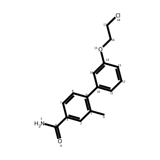 Cc1cc(C(N)=O)ccc1-c1cccc(OCCCl)c1